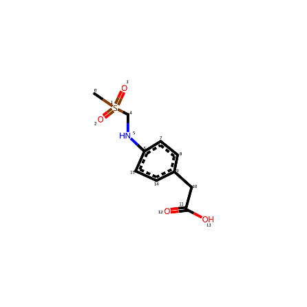 CS(=O)(=O)CNc1ccc(CC(=O)O)cc1